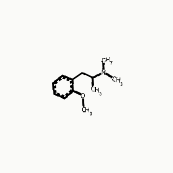 COc1ccccc1CC(C)N(C)C